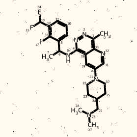 Cc1nnc(NC(C)c2cccc(C(F)F)c2F)c2cc(N3CCC(CN(C)C)CC3)cnc12